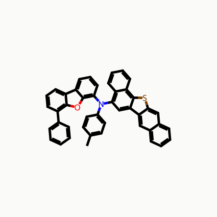 Cc1ccc(N(c2cc3c4cc5ccccc5cc4sc3c3ccccc23)c2cccc3c2oc2c(-c4ccccc4)cccc23)cc1